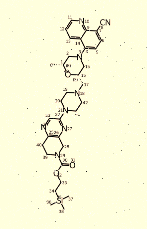 C[C@@H]1CN(c2ccc(C#N)c3ncccc23)C[C@H](CN2CCN(c3cnc4c(n3)CN(C(=O)OCC[Si](C)(C)C)CC4)CC2)O1